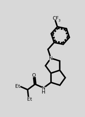 CCC(CC)C(=O)NC1CCC2CN(Cc3cccc(C(F)(F)F)c3)CC21